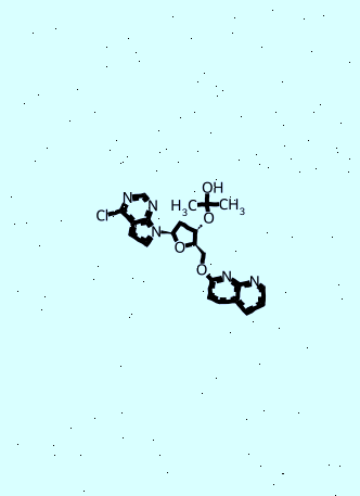 CC(C)(O)O[C@H]1C[C@H](n2ccc3c(Cl)ncnc32)O[C@@H]1COc1ccc2cccnc2n1